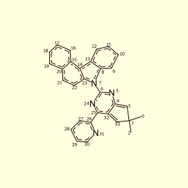 CC1(C)C=c2nc(-n3c4ccccc4c4c5ccccc5ccc43)nc(-c3ccccn3)c2=C1